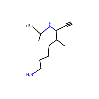 C#CC(NC(C)CCCC)C(C)CCCCN